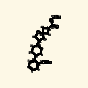 COc1ccccc1C1CCN(C2COC3(C2)CN(C(=O)OC(C)(C)C)C3)CC1